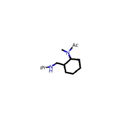 CC(=O)N(C)C1CCCCC1CNC(C)C